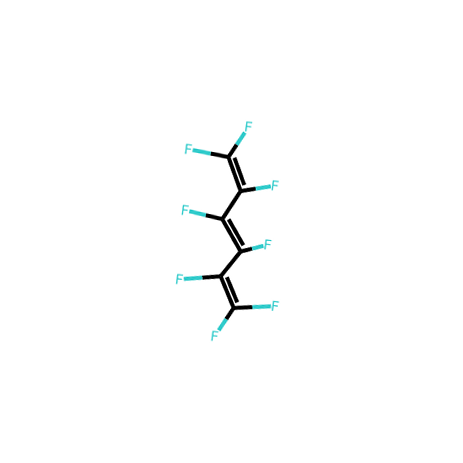 FC(F)=C(F)C(F)=C(F)C(F)=C(F)F